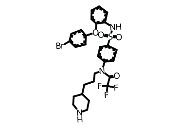 O=C(N(CCCC1CCNCC1)c1ccc(S(=O)(=O)Nc2ccccc2Oc2ccc(Br)cc2)cc1)C(F)(F)F